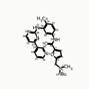 CCCCN(C)Cc1ccc(C(=O)Nc2ccc(C)c(Nc3nccc(-c4cccnc4)n3)c2)o1